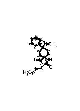 CSCCN1C(=O)NC2(CCC(c3ccccc3)(N(C)C)CC2)C1=O